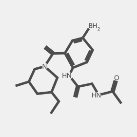 Bc1ccc(NC(=C)CNC(C)=O)c(C(=C)N2CC(C)CC(CC)C2)c1